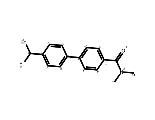 CCC(CC)c1ccc(-c2ccc(C(=O)N(C)C)cc2)cc1